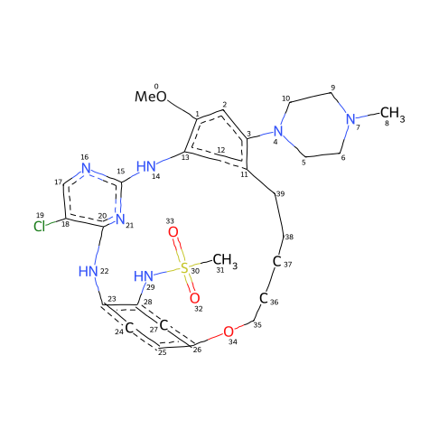 COc1cc(N2CCN(C)CC2)c2cc1Nc1ncc(Cl)c(n1)Nc1ccc(cc1NS(C)(=O)=O)OCCCCC2